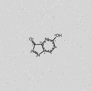 O=C1N=Nc2ccc(O)nc21